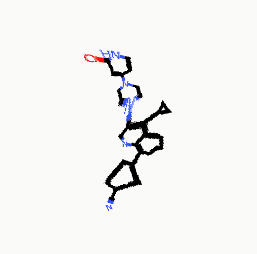 N#Cc1ccc(-c2cccc3c(C4CC4)c(N4CCN(c5cc[nH]c(=O)c5)CC4)cnc23)cc1